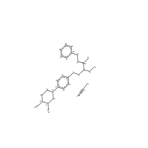 CC#N.CCC(CCc1ccc(C2CCC(F)C(F)C2)cc1)N(C)CCc1ccccc1